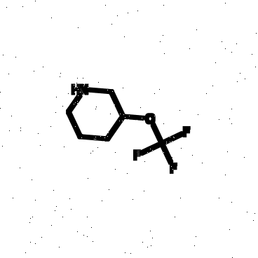 FC(F)(F)OC1CCCNC1